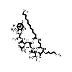 CCCCCCCCCCCC(=O)NCCC(=O)N[C@@H](CCCCN)C(=O)N[C@H](C(=O)N[C@@H](C)C(=O)N[C@@H](CC(N)=O)C(=O)N[C@@H](N)B1OC2C[C@@H]3C[C@@H](C3(C)C)[C@]2(C)O1)[C@@H](C)O